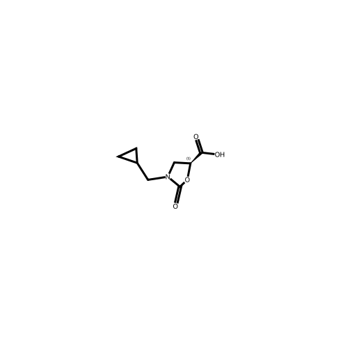 O=C(O)[C@@H]1CN(CC2CC2)C(=O)O1